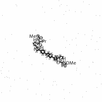 COC(=O)NC(C(=O)N1CCCC1c1ncc(-c2cc3sc(-c4ccc(-c5cnc(C6CCCN6C(=O)[C@@H](NC(=O)OC)C(C)C)[nH]5)cc4)cc3s2)[nH]1)C(C)C